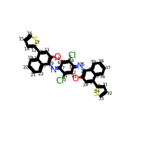 Clc1c2c(c(Cl)c3c1=Nc1c(cc(-c4cccs4)c4ccccc14)O3)=Nc1c(cc(-c3cccs3)c3ccccc13)O2